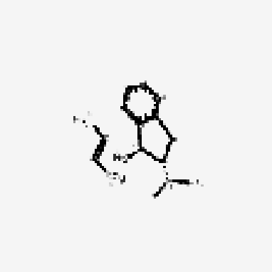 CN(N)[C@H]1Cc2ccccc2[C@@H]1O.O=C(O)/C=C/C(=O)O